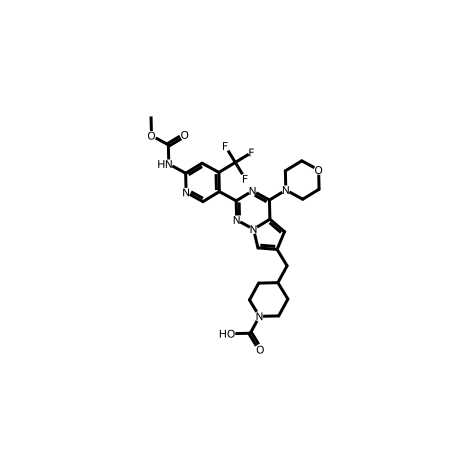 COC(=O)Nc1cc(C(F)(F)F)c(-c2nc(N3CCOCC3)c3cc(CC4CCN(C(=O)O)CC4)cn3n2)cn1